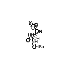 Cc1csc([C@H]2CCCN2C(=O)c2cc(C(=O)N[C@@H](Cc3ccccc3)[C@@H](O)CNCc3cccc(C(C)(C)C)c3)cc(N(C)C)c2)n1